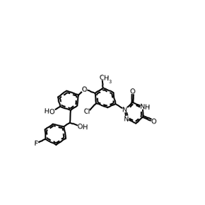 Cc1cc(-n2ncc(=O)[nH]c2=O)cc(Cl)c1Oc1ccc(O)c(C(O)c2ccc(F)cc2)c1